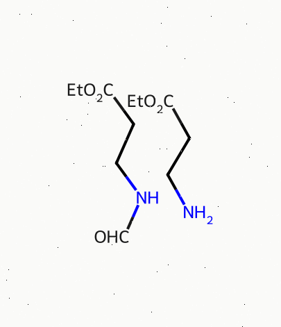 CCOC(=O)CCN.CCOC(=O)CCNC=O